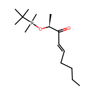 CCCCC=CC(=O)[C@H](C)O[Si](C)(C)C(C)(C)C